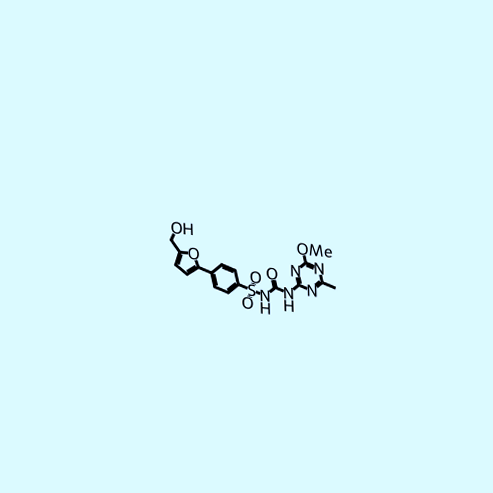 COc1nc(C)nc(NC(=O)NS(=O)(=O)c2ccc(-c3ccc(CO)o3)cc2)n1